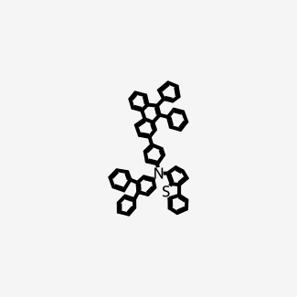 c1ccc(-c2ccc(N(c3ccc(-c4ccc5c(c4)c(-c4ccccc4)c(-c4ccccc4)c4ccccc45)cc3)c3cccc4c3sc3ccccc34)cc2-c2ccccc2)cc1